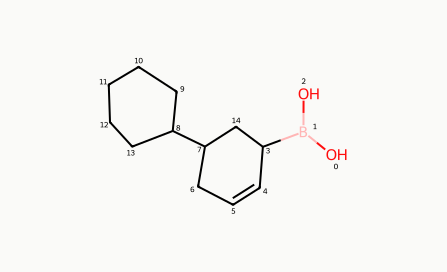 OB(O)C1C=CCC(C2CCCCC2)C1